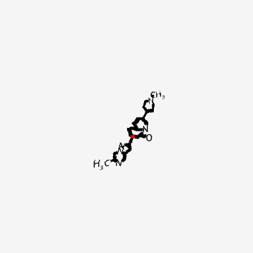 Cc1cn2nc(C3=C\C(=O)N4C=C(C5=CCN(C)CC5)C=C\C4=C/C=C/3)cc2cn1